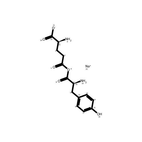 N[C@@H](CCC(=O)OC(=O)[C@@H](N)Cc1ccc(O)cc1)C(=O)[O-].[Na+]